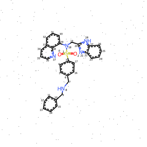 O=S(=O)(c1ccc(CNCc2ccccc2)cc1)N(Cc1nc2ccccc2[nH]1)c1cccc2cccnc12